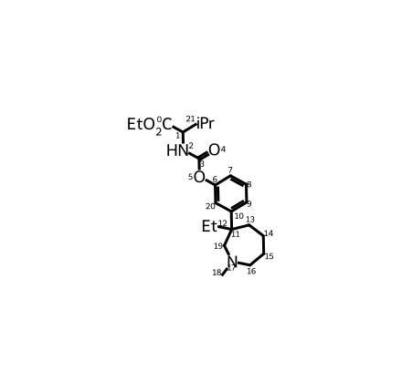 CCOC(=O)C(NC(=O)Oc1cccc(C2(CC)CCCCN(C)C2)c1)C(C)C